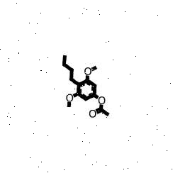 CCCCc1c(OC)cc(OC(C)=O)cc1OC